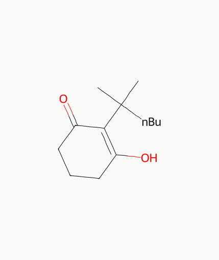 CCCCC(C)(C)C1=C(O)CCCC1=O